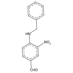 O=Cc1ccc(NCc2ccccc2)c([N+](=O)[O-])c1